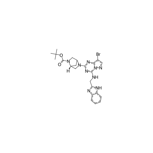 CC(C)(C)OC(=O)N1CC2C[C@@H]1CN2c1nc(NCc2nc3ccccc3[nH]2)n2ncc(Br)c2n1